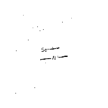 C[Se-].[CH3][Al+][CH3]